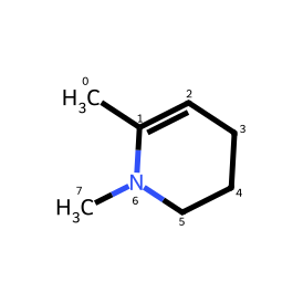 CC1=CCCCN1C